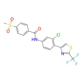 CS(=O)(=O)c1ccc(C(=O)Nc2ccc(-c3csc(C(F)(F)F)n3)c(Cl)c2)cc1